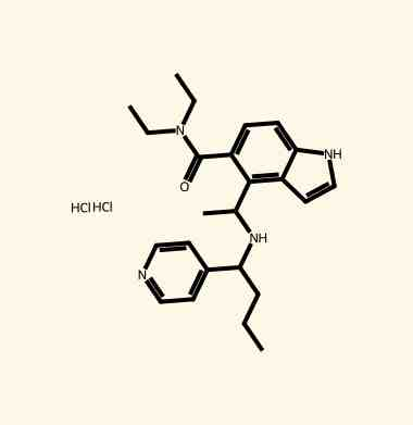 CCCC(NC(C)c1c(C(=O)N(CC)CC)ccc2[nH]ccc12)c1ccncc1.Cl.Cl